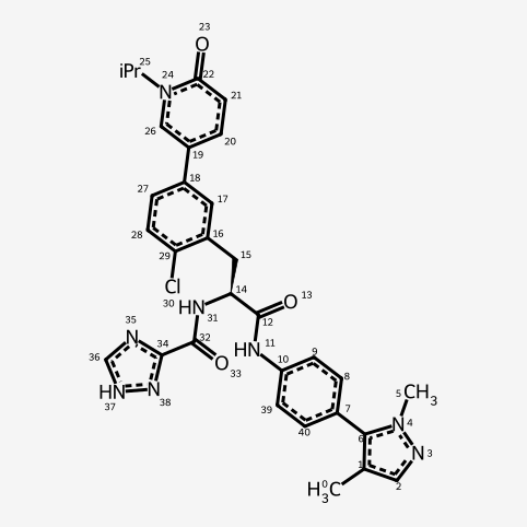 Cc1cnn(C)c1-c1ccc(NC(=O)[C@H](Cc2cc(-c3ccc(=O)n(C(C)C)c3)ccc2Cl)NC(=O)c2nc[nH]n2)cc1